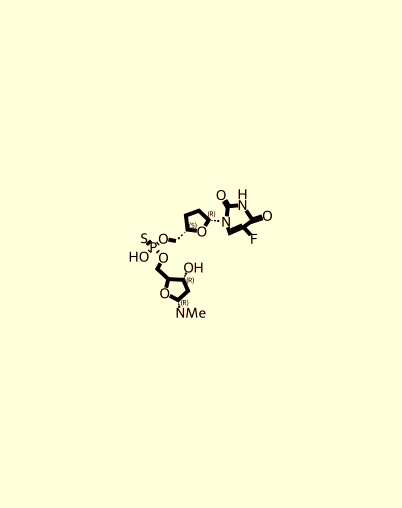 CN[C@H]1C[C@@H](O)C(COP(O)(=S)OC[C@@H]2CC[C@H](n3cc(F)c(=O)[nH]c3=O)O2)O1